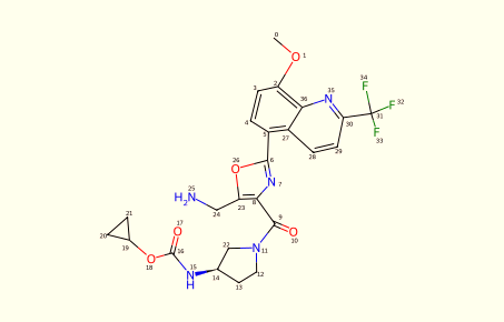 COc1ccc(-c2nc(C(=O)N3CC[C@@H](NC(=O)OC4CC4)C3)c(CN)o2)c2ccc(C(F)(F)F)nc12